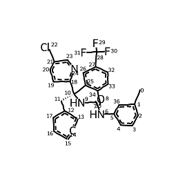 Cc1cccc(NC(=O)N[C@@](Cc2ccccc2)(c2ccc(Cl)cn2)c2cc(C(F)(F)F)ccc2C)c1